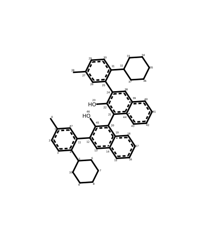 Cc1ccc(C2CCCCC2)c(-c2cc3ccccc3c(-c3c(O)c(-c4cc(C)ccc4C4CCCCC4)cc4ccccc34)c2O)c1